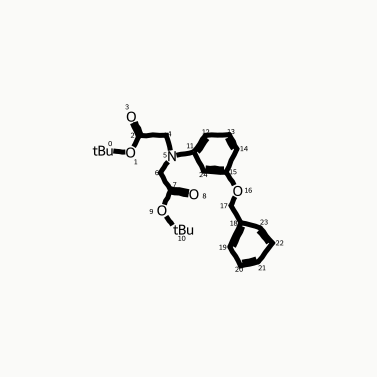 CC(C)(C)OC(=O)CN(CC(=O)OC(C)(C)C)c1cccc(OCc2ccccc2)c1